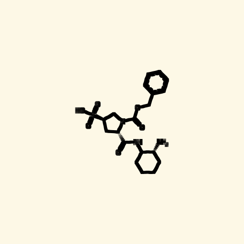 N[C@@H]1CCCCC1NC(=O)[C@@H]1C[C@@H](S(=O)(=O)O)CN1C(=O)OCc1ccccc1